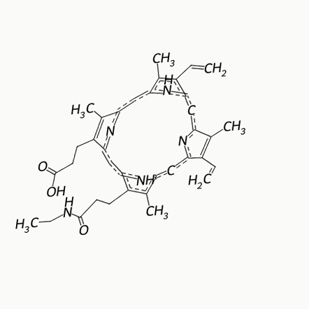 C=CC1=C(C)c2cc3[nH]c(cc4nc(cc5[nH]c(cc1n2)c(C)c5CCC(=O)NCC)C(CCC(=O)O)=C4C)c(C)c3C=C